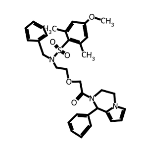 COc1cc(C)c(S(=O)(=O)N(CCOCC(=O)N2CCn3cccc3C2c2ccccc2)Cc2ccccc2)c(C)c1